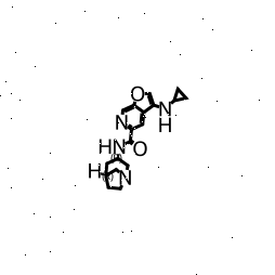 O=C(N[C@@H]1C[C@H]2CCN(C2)C1)c1cc2c(NC3CC3)coc2cn1